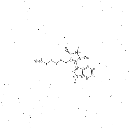 CCCCCCCCCCCCCCCC1=C(c2cn(C)c3ccccc23)C(=O)N(C)C1=O